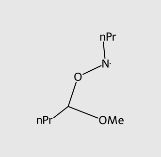 CCC[N]OC(CCC)OC